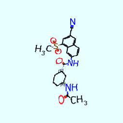 CC(=O)N[C@@H]1CCC[C@H](C(=O)Nc2ccc3cc(C#N)cc(S(C)(=O)=O)c3c2)C1